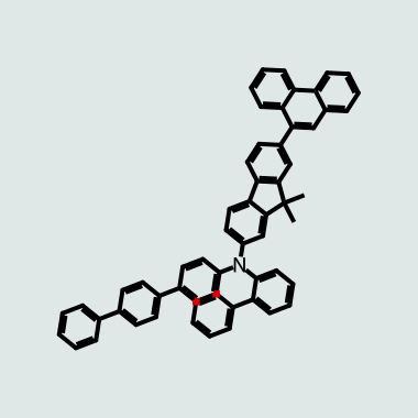 CC1(C)c2cc(-c3cc4ccccc4c4ccccc34)ccc2-c2ccc(N(c3ccc(-c4ccc(-c5ccccc5)cc4)cc3)c3ccccc3-c3ccccc3)cc21